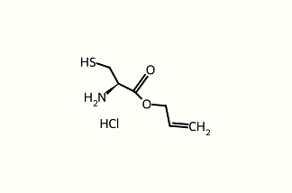 C=CCOC(=O)[C@@H](N)CS.Cl